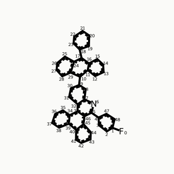 Fc1ccc(-c2nc3cc(-c4c5ccccc5c(-c5ccccc5)c5ccccc45)ccc3c3c4ccccc4c4ccccc4c23)cc1